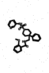 COc1ccccc1C(=O)NCC1(c2ccccc2)CCN(S(=O)(=O)Nc2cccnc2)CC1